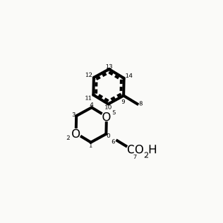 C1COCCO1.CC(=O)O.Cc1ccccc1